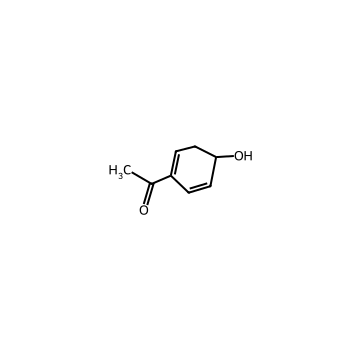 CC(=O)C1=CCC(O)C=C1